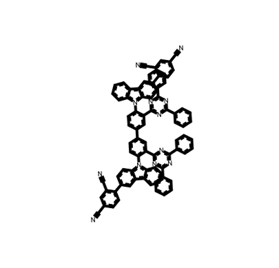 N#Cc1ccc(-c2ccc3c(c2)c2ccccc2n3-c2ccc(-c3ccc(-n4c5ccccc5c5cc(-c6ccc(C#N)cc6C#N)ccc54)c(-c4nc(-c5ccccc5)nc(-c5ccccc5)n4)c3)cc2-c2nc(-c3ccccc3)nc(-c3ccccc3)n2)c(C#N)c1